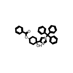 O=C(O[C@H]1CC[C@@](O)(c2cn(C(c3ccccc3)(c3ccccc3)c3ccccc3)cn2)CC1)c1ccccc1